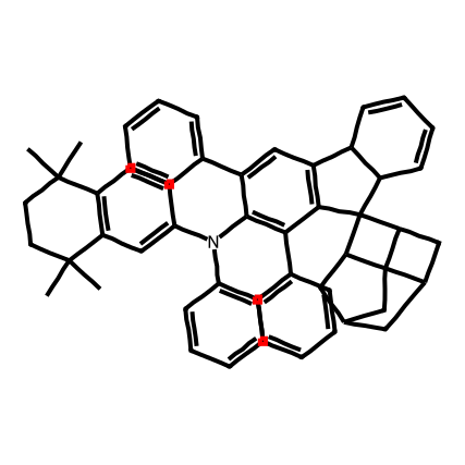 CC1(C)CCC(C)(C)c2cc(N(c3ccccc3)c3c(-c4ccccc4)cc4c(c3-c3ccccc3)C3(C5C=CC=CC45)C4CC5CC6CC3C64C5)ccc21